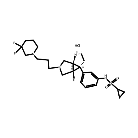 CC[C@]1(c2cccc(NS(=O)(=O)C3CC3)c2)[C@@H]2CN(CCCN3CCCC(F)(F)C3)C[C@@H]21.Cl